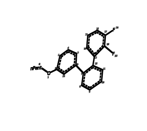 CCCCCOc1cccc(-c2ccccc2-c2cccc(F)c2F)c1